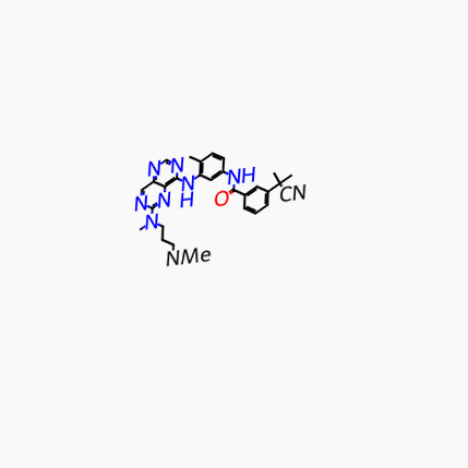 CNCCCN(C)c1ncc2ncnc(Nc3cc(NC(=O)c4cccc(C(C)(C)C#N)c4)ccc3C)c2n1